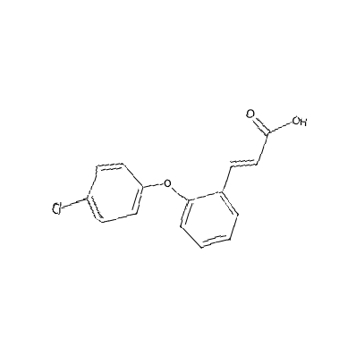 O=C(O)/C=C/c1ccccc1Oc1ccc(Cl)cc1